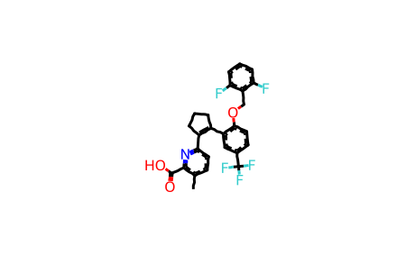 Cc1ccc(C2=C(c3cc(C(F)(F)F)ccc3OCc3c(F)cccc3F)CCC2)nc1C(=O)O